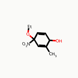 CCOC1([N+](=O)[O-])C=CC(O)C(C)=C1